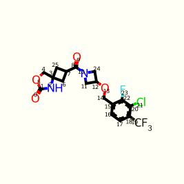 O=C1NC2(CO1)CC(C(=O)N1CC(OCc3ccc(C(F)(F)F)c(Cl)c3F)C1)C2